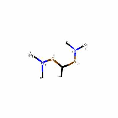 CC(SN(C)C(C)C)SN(C)C(C)C